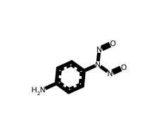 Nc1ccc(N(N=O)N=O)cc1